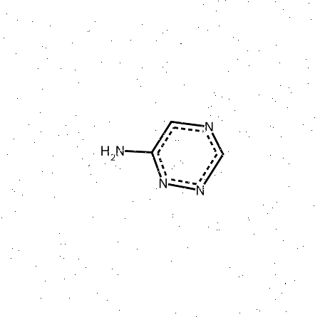 Nc1cncnn1